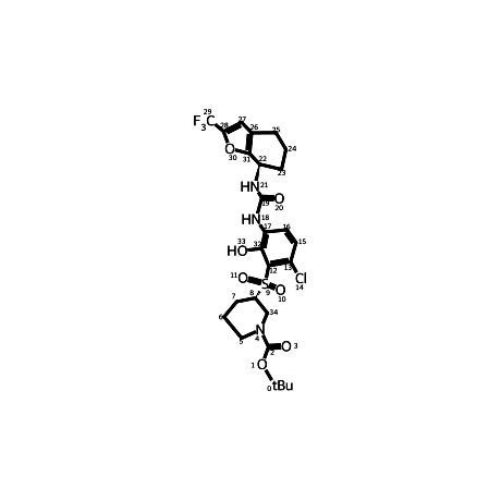 CC(C)(C)OC(=O)N1CCC[C@H](S(=O)(=O)c2c(Cl)ccc(NC(=O)N[C@@H]3CCCc4cc(C(F)(F)F)oc43)c2O)C1